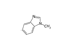 Cn1cnc2c[c]ccc21